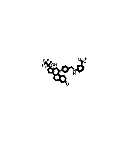 COC(=O)c1cccc(NCc2ccc([C@H]3C[C@@]4(C)C(CC[C@]4(O)C(F)(F)C(F)(F)F)C4CCC5=CC(=O)CCC5=C43)cc2)c1